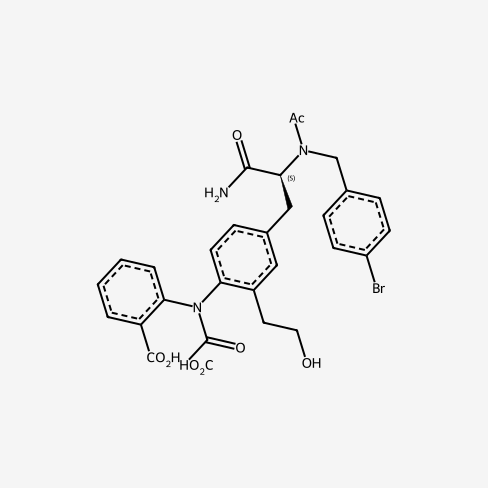 CC(=O)N(Cc1ccc(Br)cc1)[C@@H](Cc1ccc(N(C(=O)C(=O)O)c2ccccc2C(=O)O)c(CCO)c1)C(N)=O